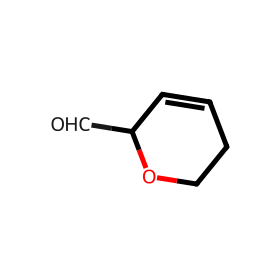 O=CC1C=CCCO1